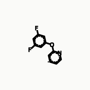 Fc1cc(F)cc(Oc2c[c]ccn2)c1